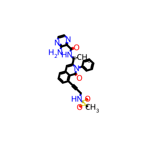 C[C@@H](NC(=O)c1nccnc1N)c1cc2cccc(C#CCNS(C)(=O)=O)c2c(=O)n1-c1ccccc1